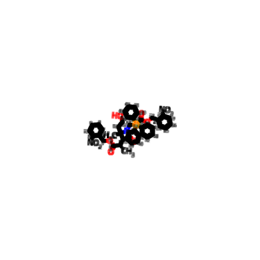 C[C@@H](C(=O)OCc1ccccc1[N+](=O)[O-])C1C(=O)N(CP(C(=O)OCc2ccccc2[N+](=O)[O-])(c2ccccc2)(c2ccccc2)c2ccccc2)C1(C)CCO